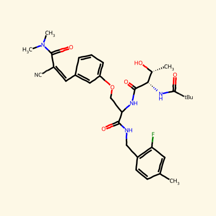 Cc1ccc(CNC(=O)C(COc2cccc(C=C(C#N)C(=O)N(C)C)c2)NC(=O)[C@@H](NC(=O)C(C)(C)C)[C@@H](C)O)c(F)c1